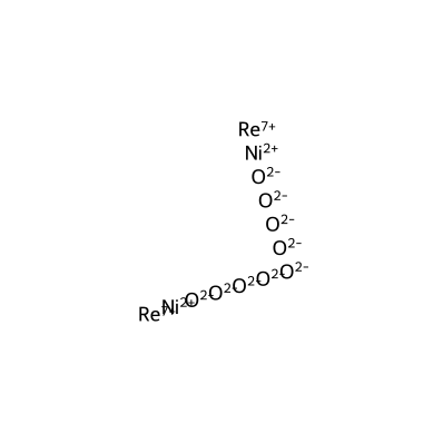 [Ni+2].[Ni+2].[O-2].[O-2].[O-2].[O-2].[O-2].[O-2].[O-2].[O-2].[O-2].[Re+7].[Re+7]